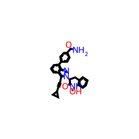 NC(=O)c1ccc(-c2cccc3c(C#CC4CC4)n(C(Cc4ccccc4)C(=O)NO)nc23)cc1